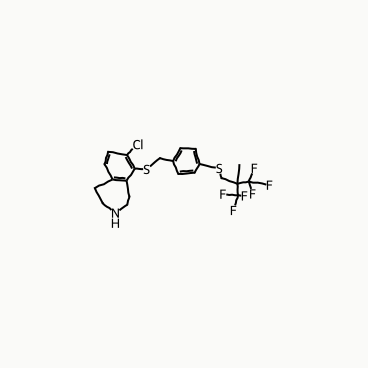 CC(CSc1ccc(CSc2c(Cl)ccc3c2CCNCC3)cc1)(C(F)(F)F)C(F)(F)F